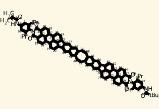 C=C(C)C(=O)Nc1cc(C(C)C)c(N2C(=O)c3ccc4c5ccc6c7c(ccc(c8ccc(c3c48)C2=O)c75)-c2cc3cc4c(cc3cc2-6)/C=C\c2cc3cc5c(cc3cc2/C=C\4)-c2ccc3c4ccc6c7c(ccc(c8ccc-5c2c83)c74)C(=O)N(c2c(C(C)C)cc(NC(=O)C(C)(C)C)cc2C(C)C)C6=O)c(C(C)C)c1